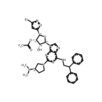 CCc1cc([C@H]2O[C@@H](n3cnc4c(NCC(c5ccccc5)c5ccccc5)nc(N5CC[C@@H](N(C)C)C5)nc43)[C@H](O)[C@@H]2OC(=O)C(F)(F)F)on1